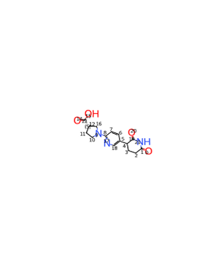 O=C1CCC(c2ccc(N3CC[C@H](C(=O)O)C3)nc2)C(=O)N1